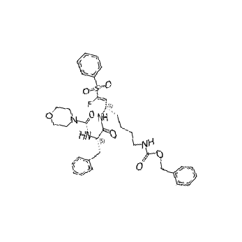 O=C(NCCCC[C@@H](C=C(F)S(=O)(=O)c1ccccc1)NC(=O)[C@H](Cc1ccccc1)NC(=O)N1CCOCC1)OCc1ccccc1